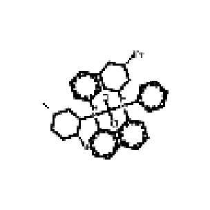 CC(C)[C@@H]1CC[C@@H](C)C([PH](c2ccccc2)(c2ccccc2)C(Cl)(Cl)[PH](c2ccccc2)(c2ccccc2)C2C[C@@H](C)CC[C@@H]2C(C)C)C1